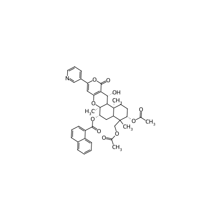 CC(=O)OCC1(C)C2C[C@H](OC(=O)c3cccc4ccccc34)[C@@]3(C)Oc4cc(-c5cccnc5)oc(=O)c4[C@H](O)C3[C@@]2(C)CC[C@@H]1OC(C)=O